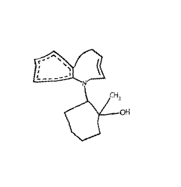 CC1(O)CCCCC1N1C=CCc2ccccc21